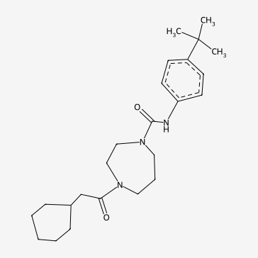 CC(C)(C)c1ccc(NC(=O)N2CCCN(C(=O)CC3CCCCC3)CC2)cc1